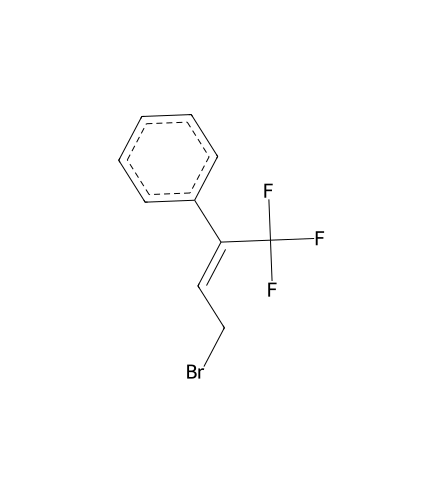 FC(F)(F)C(=CCBr)c1ccccc1